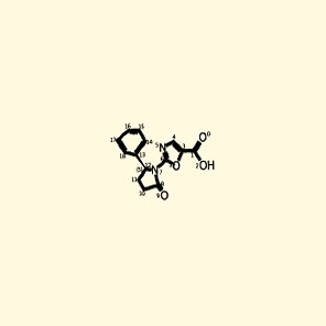 O=C(O)c1cnc(N2C(=O)CC[C@H]2c2ccccc2)o1